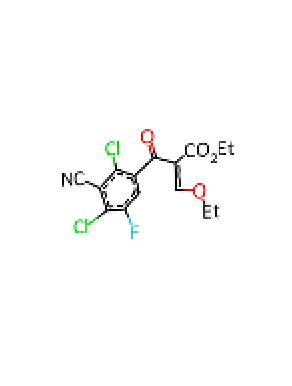 CCOC=C(C(=O)OCC)C(=O)c1cc(F)c(Cl)c(C#N)c1Cl